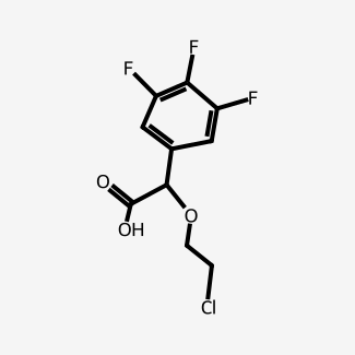 O=C(O)C(OCCCl)c1cc(F)c(F)c(F)c1